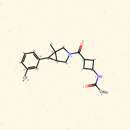 COC(=O)NC1CC(C(=O)N2CC3C(c4cccc(C(F)(F)F)c4)C3(C)C2)C1